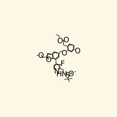 CCOC(=O)Cc1ccc(OC)cc1OCc1cc(-c2ccnc(CN[S@@+]([O-])C(C)(C)C)c2F)c2oc(COC)cc2c1